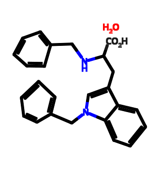 O.O=C(O)C(Cc1cn(Cc2ccccc2)c2ccccc12)NCc1ccccc1